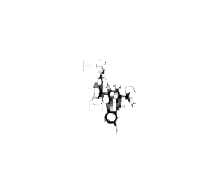 CNC(=O)c1nc(Nc2ccc(I)cc2F)c(C(=O)N(C)OCCO)nc1C